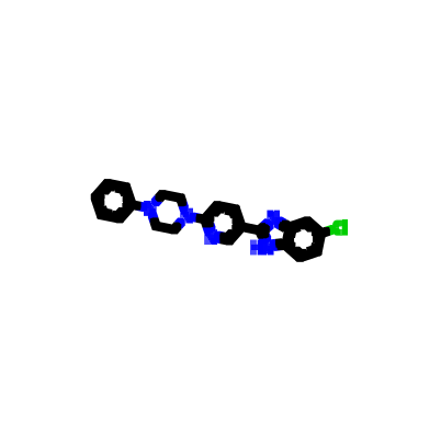 Clc1ccc2[nH]c(-c3ccc(N4CCN(c5ccccc5)CC4)nc3)nc2c1